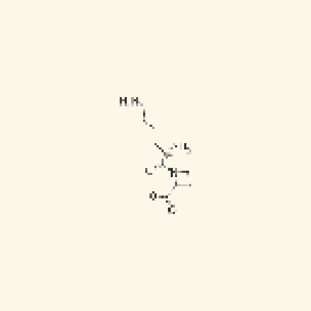 NCCCC[C@H](N)C(=O)N1CCC1C(=O)O